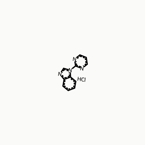 Cl.c1cnc(-n2cnc3ccccc32)nc1